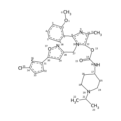 COc1ccccc1-c1nc(C)c(OC(=O)NC2CCN(C(C)C)CC2)n1Cc1cc(-c2ccc(Cl)s2)on1